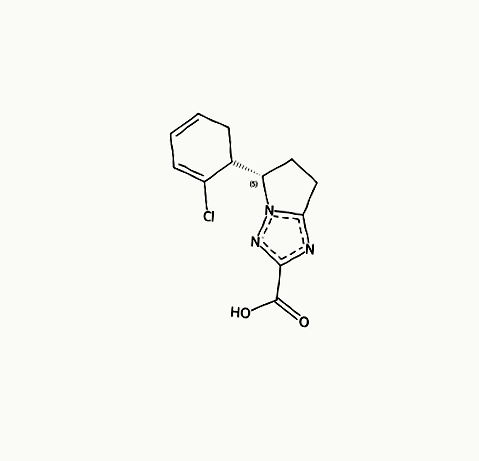 O=C(O)c1nc2n(n1)[C@H](C1CC=CC=C1Cl)CC2